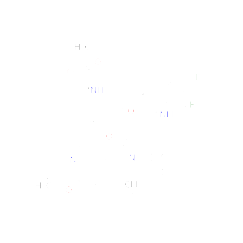 COC(=O)NCCCc1cc([C@@H](C)N(C(=O)[C@H]2CN[C@@H](CC(F)F)CO2)C2CC2)cc(OC)n1